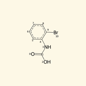 O=C(O)Nc1ccccc1Br